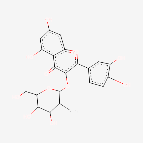 CC(=O)OC1C(Oc2c(-c3ccc(O)c(O)c3)oc3cc(O)cc(O)c3c2=O)OC(CO)C(O)C1O